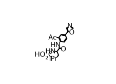 CC(=O)c1cc(-c2cnco2)ccc1NC(=O)C(CC(C)C)NC(=O)O